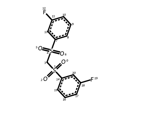 O=S(=O)(CS(=O)(=O)c1cccc(F)c1)c1cccc(F)c1